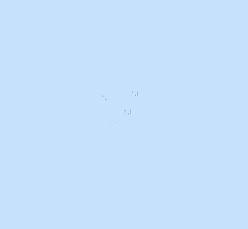 CCCCC(=O)Nc1cnc2ccsc2c1N